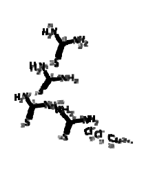 NC(N)=S.NC(N)=S.NC(N)=S.NC(N)=S.[Cl-].[Cl-].[Cu+2]